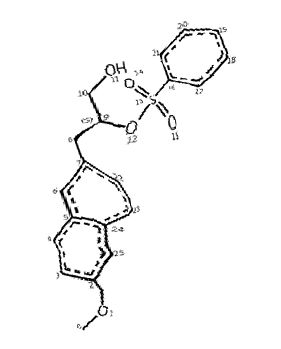 COc1ccc2cc(C[C@@H](CO)OS(=O)(=O)c3ccccc3)ccc2c1